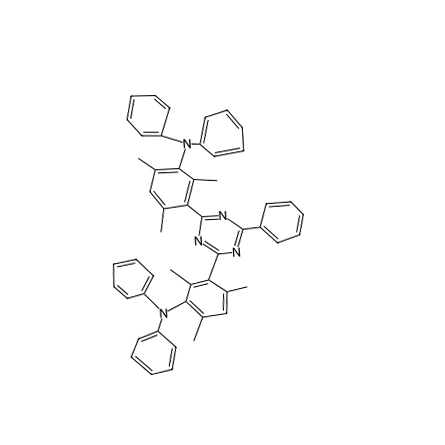 Cc1cc(C)c(N(c2ccccc2)c2ccccc2)c(C)c1-c1nc(-c2ccccc2)nc(-c2c(C)cc(C)c(N(c3ccccc3)c3ccccc3)c2C)n1